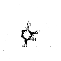 O=c1ccn(Cl)c(=S)[nH]1